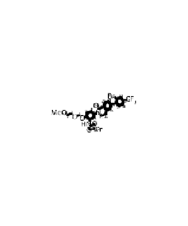 COCCOCOc1ccc(N2CCc3cc(-c4ccc(C(F)(F)F)cc4Br)ccc3C2=O)cc1NS(=O)(=O)C(C)C